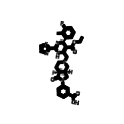 CCOC(=O)C1=C(CN2CC[C@]3(F)C(=O)N(c4cccc(C(=O)O)c4)C[C@@H]3C2)NC(c2nccs2)=N[C@H]1c1cccc(F)c1C